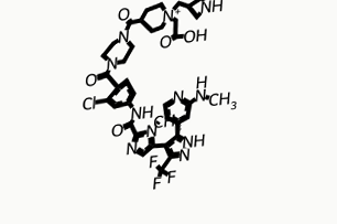 CNc1cc(-c2[nH]nc(C(F)(F)F)c2-c2cnc(C(=O)Nc3ccc(C(=O)N4CCN(C(=O)C5CC[N+](CC(=O)O)(CC6CNC6)CC5)CC4)c(Cl)c3)n2C)ccn1